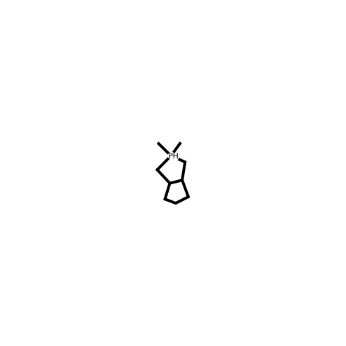 C[PH]1(C)CC2CCCC2C1